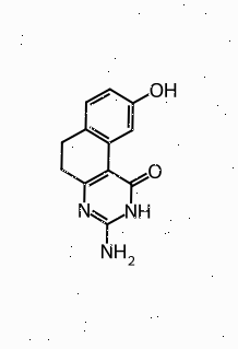 Nc1nc2c(c(=O)[nH]1)-c1cc(O)ccc1CC2